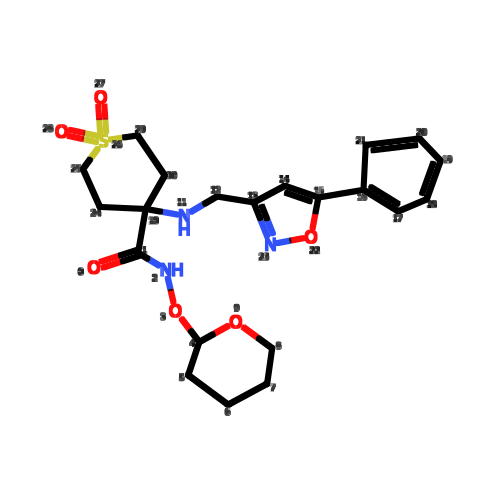 O=C(NOC1CCCCO1)C1(NCc2cc(-c3ccccc3)on2)CCS(=O)(=O)CC1